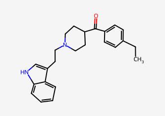 CCc1ccc(C(=O)C2CCN(CCc3c[nH]c4ccccc34)CC2)cc1